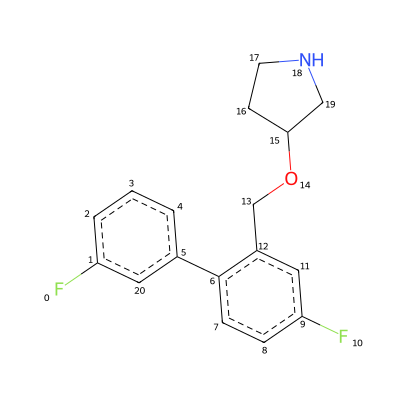 Fc1cccc(-c2ccc(F)cc2COC2CCNC2)c1